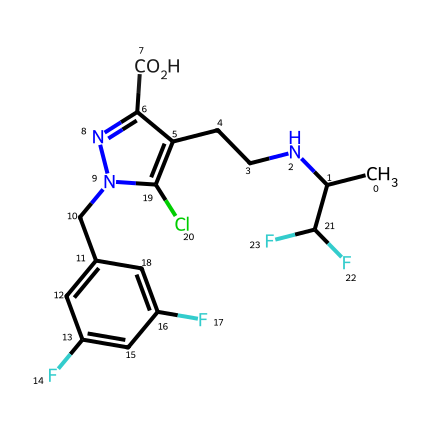 CC(NCCc1c(C(=O)O)nn(Cc2cc(F)cc(F)c2)c1Cl)C(F)F